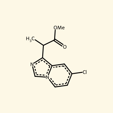 COC(=O)C(C)c1ncn2ccc(Cl)cc12